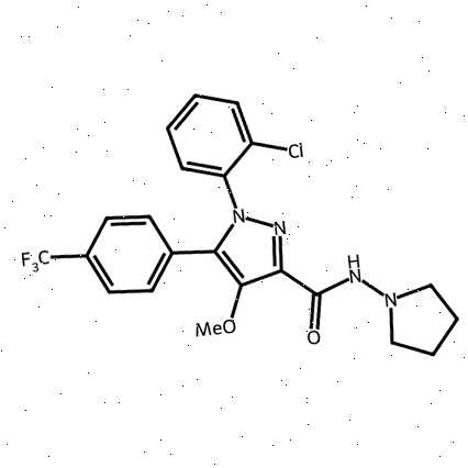 COc1c(C(=O)NN2CCCC2)nn(-c2ccccc2Cl)c1-c1ccc(C(F)(F)F)cc1